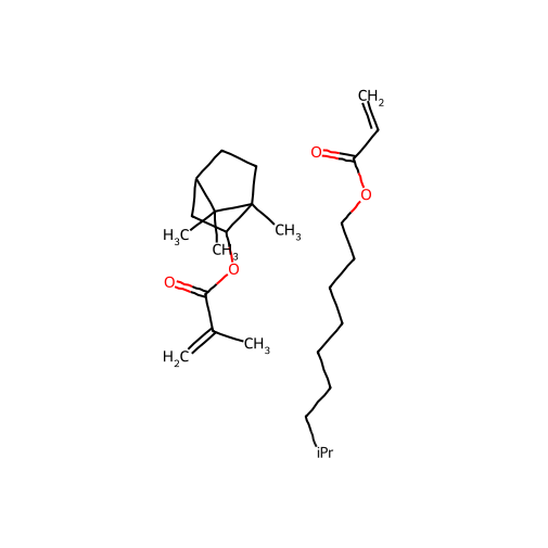 C=C(C)C(=O)OC1CC2CCC1(C)C2(C)C.C=CC(=O)OCCCCCCCC(C)C